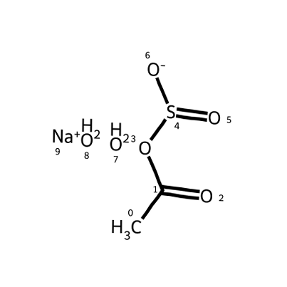 CC(=O)OS(=O)[O-].O.O.[Na+]